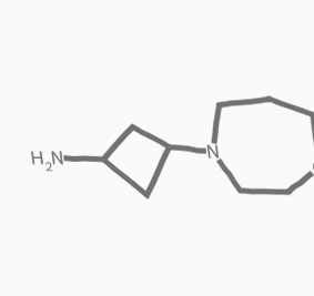 NC1CC(N2CCCOCC2)C1